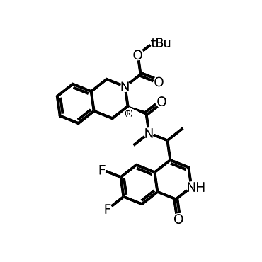 CC(c1c[nH]c(=O)c2cc(F)c(F)cc12)N(C)C(=O)[C@H]1Cc2ccccc2CN1C(=O)OC(C)(C)C